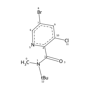 CN(C(=O)c1ncc(Br)cc1Cl)C(C)(C)C